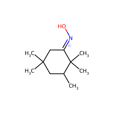 CC1CC(C)(C)C/C(=N\O)C1(C)C